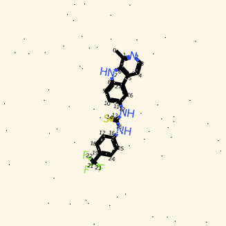 Cc1nccc2c1[nH]c1ccc(NC(=S)Nc3ccc(C(F)(F)F)cc3)cc12